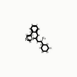 F[C@@H](CC1Cc2ccccc2-c2cncn21)C1CCCCC1